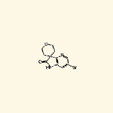 O=C1Nc2cc(Br)cnc2C12CCOCC2